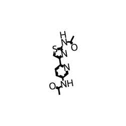 CC(=O)Nc1ccc(-c2csc(NC(C)=O)n2)nc1